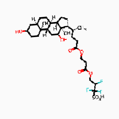 C[C@H](CCC(=O)OCCC(=O)OCC(F)C(F)(F)S(=O)(=O)O)[C@H]1CC[C@H]2[C@@H]3CC[C@@H]4C[C@H](O)CC[C@]4(C)[C@H]3C[C@H](O)[C@]12C